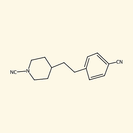 N#Cc1ccc(CCC2CCN(C#N)CC2)cc1